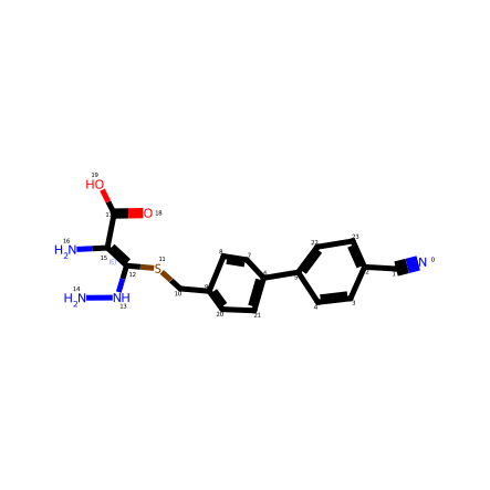 N#Cc1ccc(-c2ccc(CS/C(NN)=C(/N)C(=O)O)cc2)cc1